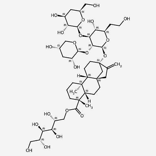 C=C1C[C@@]23CC[C@H]4[C@@](C)(CCC[C@@]4(C)C(=O)OC[C@@H](O)[C@@H](O)[C@H](O)[C@H](O)CO)[C@@H]2CC[C@]1(O[C@@H]1O[C@H](CCO)[C@@H](O)[C@H](O[C@@H]2O[C@H](CO)C[C@H](O)[C@H]2O)[C@H]1O[C@@H]1OC[C@@H](O)C[C@H]1O)C3